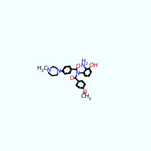 COc1ccc(C(=O)N(C(=O)c2ccc(N3CCCN(C)CC3)cc2)c2cccc(O)c2N)cc1